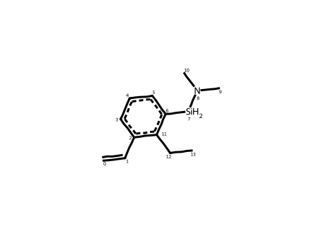 C=Cc1cccc([SiH2]N(C)C)c1CC